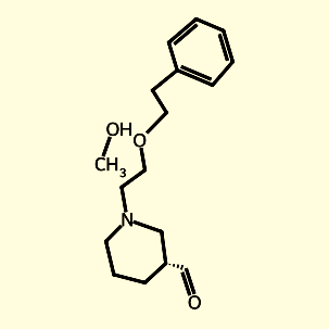 CO.O=C[C@@H]1CCCN(CCOCCc2ccccc2)C1